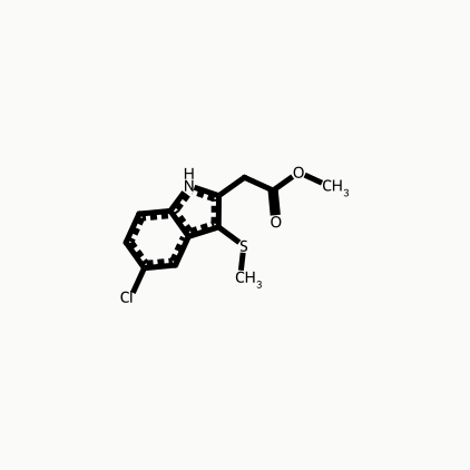 COC(=O)Cc1[nH]c2ccc(Cl)cc2c1SC